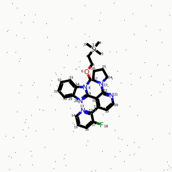 C[Si](C)(C)CCOCn1c(-c2c(-c3ncccc3F)ccnc2N2CCCC2)nc2ccccc21